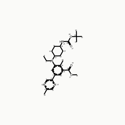 CCN(c1cc(-c2cnc(C)cn2)cc(C(=O)OC)c1C)C1CCC(NC(=O)OC(C)(C)C)CC1